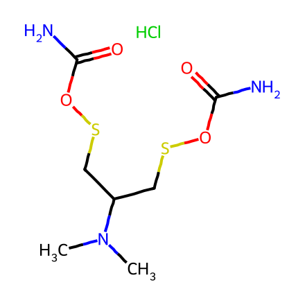 CN(C)C(CSOC(N)=O)CSOC(N)=O.Cl